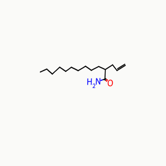 C=CCC(CCCCCCCCCC)C(N)=O